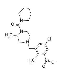 Cc1c(CN2CCN(C(=O)N3CCCCC3)C(C)C2)cc(Cl)cc1[N+](=O)[O-]